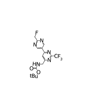 CC(C)(C)OC(=O)NCc1cc(-c2cnc(CF)nc2)nc(C(F)(F)F)n1